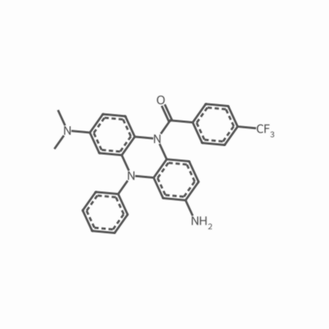 CN(C)c1ccc2c(c1)N(c1ccccc1)c1cc(N)ccc1N2C(=O)c1ccc(C(F)(F)F)cc1